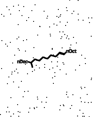 CCCCCCCCC=CCCCCCCC(C)CCCCCCCCCC